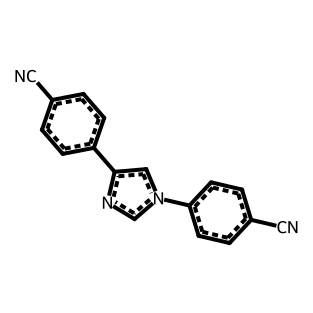 N#Cc1ccc(-c2cn(-c3ccc(C#N)cc3)cn2)cc1